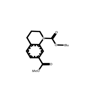 COC(=O)c1ccc2c(c1)N(C(=O)OC(C)(C)C)CCC2